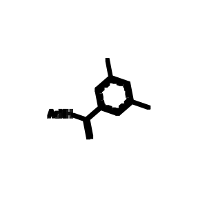 C=C(NC(C)=O)c1cc(C)cc(C)c1